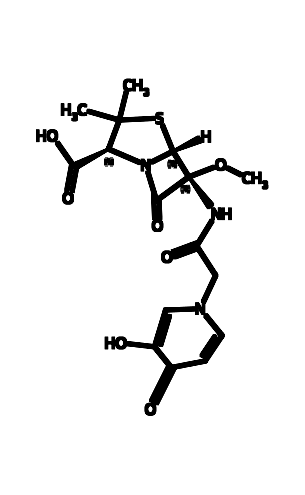 CO[C@]1(NC(=O)Cn2ccc(=O)c(O)c2)C(=O)N2[C@@H](C(=O)O)C(C)(C)S[C@@H]21